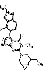 Cn1cc2c(Cl)c(-c3n[nH]c4nc(N5CC(CO)N6CC6C5)n(C)c(=O)c34)ccc2n1